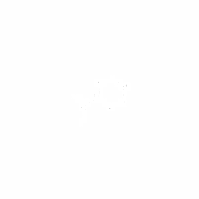 C=C(I)C1CC=CCC1